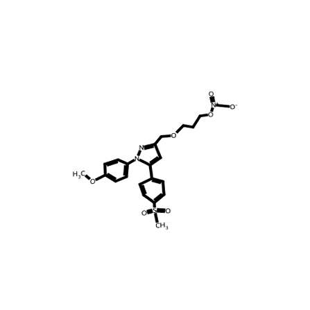 COc1ccc(-n2nc(COCCCO[N+](=O)[O-])cc2-c2ccc(S(C)(=O)=O)cc2)cc1